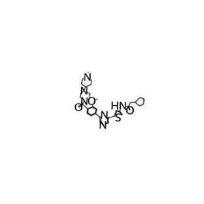 COc1cc(-c2cncc(-c3cc(NC(=O)CC4CCCC4)cs3)n2)ccc1C(=O)N1CCN(C2CCN(C)CC2)CC1